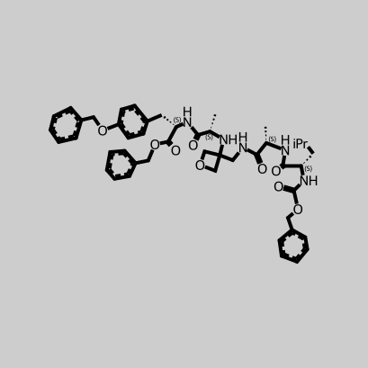 CC(C)C[C@H](NC(=O)OCc1ccccc1)C(=O)N[C@@H](C)C(=O)NCC1(N[C@@H](C)C(=O)N[C@@H](Cc2ccc(OCc3ccccc3)cc2)C(=O)OCc2ccccc2)COC1